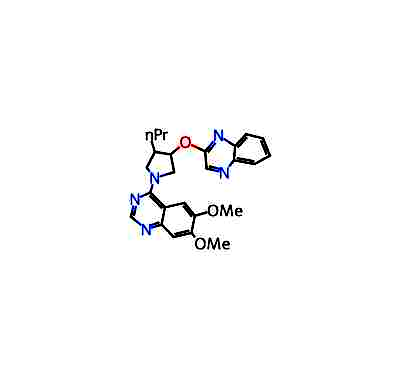 CCCC1CN(c2ncnc3cc(OC)c(OC)cc23)CC1Oc1cnc2ccccc2n1